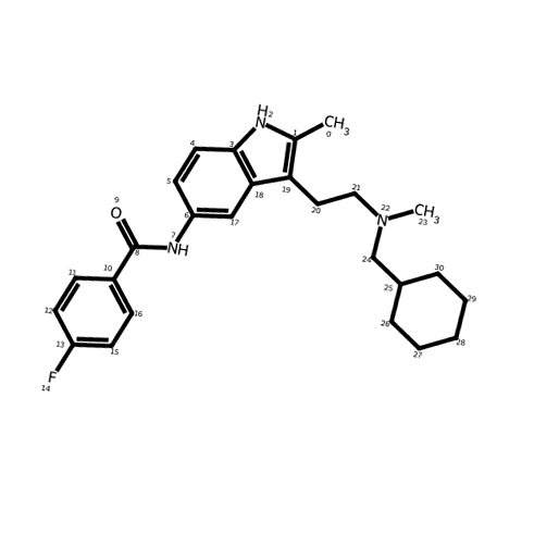 Cc1[nH]c2ccc(NC(=O)c3ccc(F)cc3)cc2c1CCN(C)CC1CCCCC1